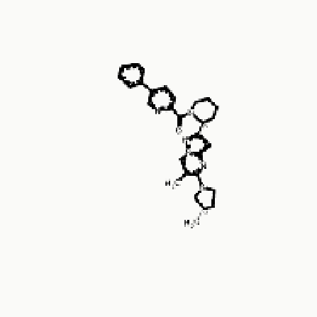 Cc1cn2nc([C@@H]3CCCCN3C(=O)c3ccc(-c4ccccc4)cn3)cc2nc1N1CC[C@H](N)C1